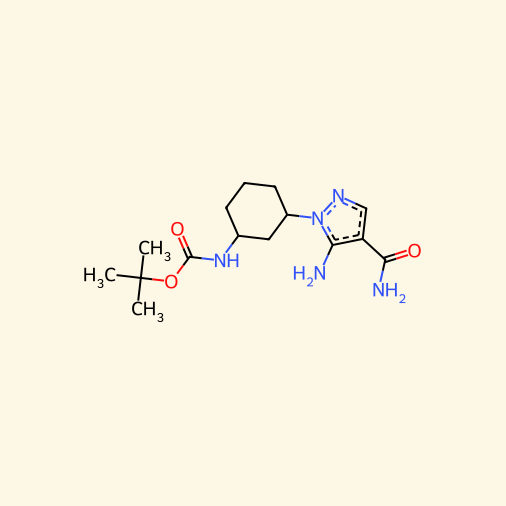 CC(C)(C)OC(=O)NC1CCCC(n2ncc(C(N)=O)c2N)C1